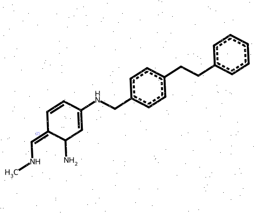 CN/C=C1/C=CC(NCc2ccc(CCc3ccccc3)cc2)=CC1N